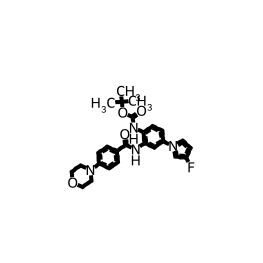 CC(C)(C)OC(=O)Nc1ccc(-n2ccc(F)c2)cc1NC(=O)c1ccc(N2CCOCC2)cc1